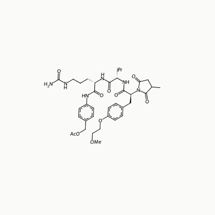 COCCOc1ccc(C[C@@H](C(=O)N[C@H](C(=O)N[C@@H](CCCNC(N)=O)C(=O)Nc2ccc(COC(C)=O)cc2)C(C)C)N2C(=O)CC(C)C2=O)cc1